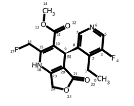 CCc1c(F)cncc1[C@@H]1C(C(=O)OC)=C(CF)NC2=C1C(=O)OC2